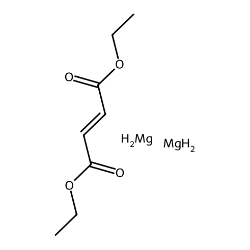 CCOC(=O)/C=C/C(=O)OCC.[MgH2].[MgH2]